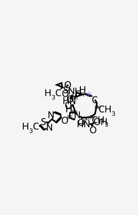 Cc1cnc(-c2cc(O[C@@H]3C[C@H]4C(=O)N[C@]5(C(=O)NS(=O)(=O)C6(C)CC6)C[C@H]5/C=C\CC[C@@H](C)C[C@@H](C)[C@H](NC(=O)O)C(=O)N4C3)ccn2)s1